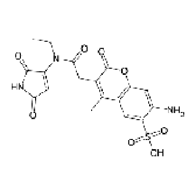 CCN(C(=O)Cc1c(C)c2cc(S(=O)(=O)O)c(N)cc2oc1=O)C1=CC(=O)NC1=O